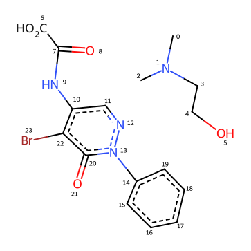 CN(C)CCO.O=C(O)C(=O)Nc1cnn(-c2ccccc2)c(=O)c1Br